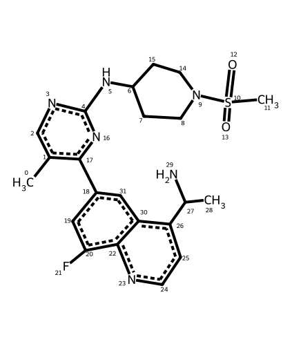 Cc1cnc(NC2CCN(S(C)(=O)=O)CC2)nc1-c1cc(F)c2nccc(C(C)N)c2c1